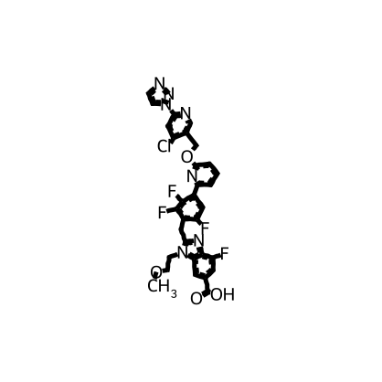 COCCn1c(Cc2c(F)cc(-c3cccc(OCc4cnc(-n5ccnn5)cc4Cl)n3)c(F)c2F)nc2c(F)cc(C(=O)O)cc21